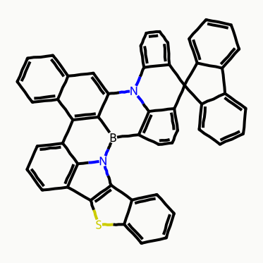 c1ccc2c(c1)-c1ccccc1C21c2ccccc2N2c3cc4ccccc4c4c3B(c3cccc1c32)n1c2c-4cccc2c2sc3ccccc3c21